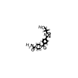 CC(C)(CO)c1nc(-c2ccc(C(=O)N3CCN(C(N)=O)CC3)cc2)no1